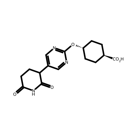 O=C1CCC(c2cnc(O[C@H]3CC[C@H](C(=O)O)CC3)nc2)C(=O)N1